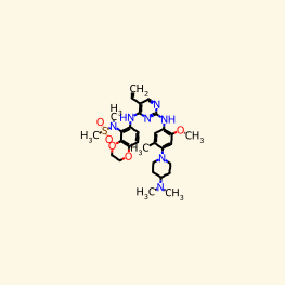 C=Cc1cnc(Nc2cc(C)c(N3CCC(N(C)C)CC3)cc2OC)nc1Nc1ccc2c(c1N(C)S(C)(=O)=O)OCCO2